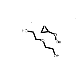 CCC(C)OC1CC1.OCCOCCO